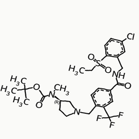 CCS(=O)(=O)c1ccc(Cl)cc1CNC(=O)c1ccc(CN2CC[C@@H](N(C)C(=O)OC(C)(C)C)C2)c(C(F)(F)F)c1